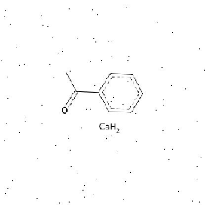 CC(=O)c1ccccc1.[CaH2]